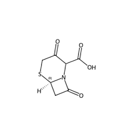 O=C(O)C1C(=O)CS[C@@H]2CC(=O)N12